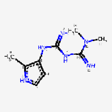 Cc1[nH]ccc1NC(=N)NC(=N)N(C)C